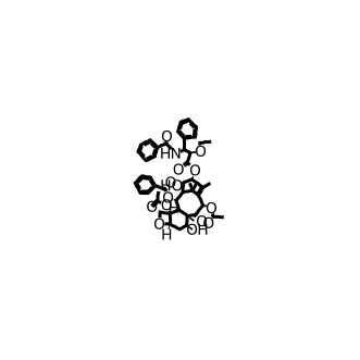 CCO[C@@H](C(=O)O[C@H]1C[C@@]2(O)[C@@H](OC(=O)c3ccccc3)[C@@H]3[C@]4(OC(C)=O)CO[C@@H]4C[C@H](O)[C@@]3(C)C(=O)[C@H](OC(C)=O)C(=C1C)C2(C)C)C(NC(=O)c1ccccc1)c1ccccc1